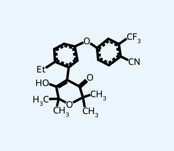 CCc1ccc(Oc2ccc(C#N)c(C(F)(F)F)c2)cc1C1=C(O)C(C)(C)OC(C)(C)C1=O